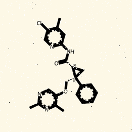 Cc1ncc(OC[C@@]2(c3ccccc3)C[C@H]2C(=O)Nc2cc(C)c(Cl)cn2)c(C)n1